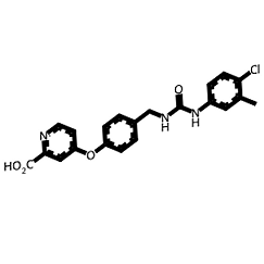 Cc1cc(NC(=O)NCc2ccc(Oc3ccnc(C(=O)O)c3)cc2)ccc1Cl